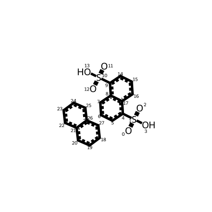 O=S(=O)(O)c1cccc2c(S(=O)(=O)O)cccc12.c1ccc2ccccc2c1